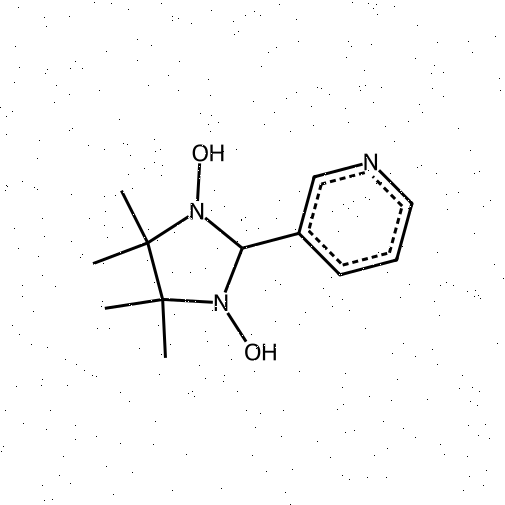 CC1(C)N(O)C(c2cccnc2)N(O)C1(C)C